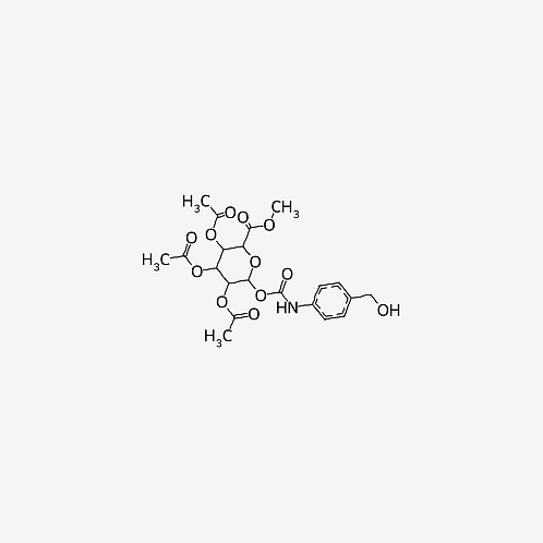 COC(=O)C1OC(OC(=O)Nc2ccc(CO)cc2)C(OC(C)=O)C(OC(C)=O)C1OC(C)=O